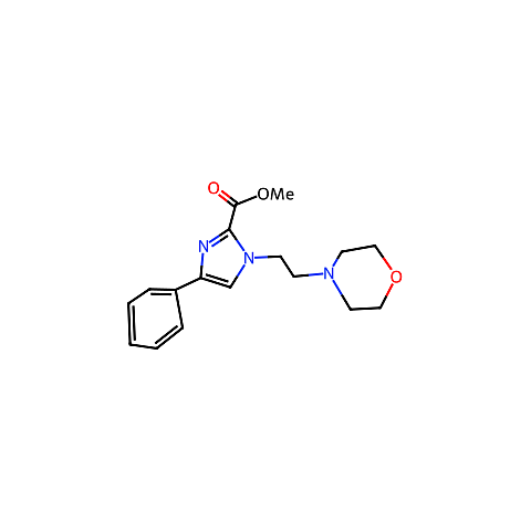 COC(=O)c1nc(-c2ccccc2)cn1CCN1CCOCC1